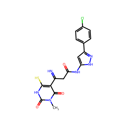 Cn1c(=O)[nH]c(S)c(C(=N)CC(=O)Nc2cc(-c3ccc(Cl)cc3)n[nH]2)c1=O